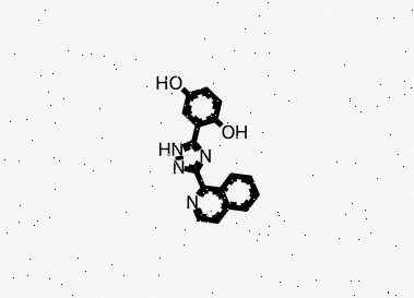 Oc1ccc(O)c(-c2nc(-c3nccc4ccccc34)n[nH]2)c1